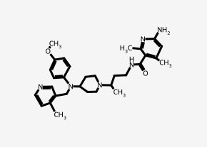 COc1ccc(N(Cc2cnccc2C)C2CCN(C(C)CCNC(=O)c3c(C)cc(N)nc3C)CC2)cc1